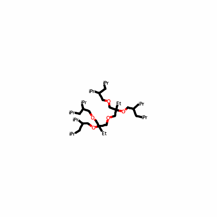 CCC(COCC(CC(C)C)C(C)C)(COCC(CC)(COCC(CC(C)C)C(C)C)OCC(CC(C)C)C(C)C)OCC(CC(C)C)C(C)C